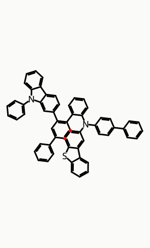 c1ccc(-c2ccc(N(c3ccc4sc5ccccc5c4c3)c3ccccc3-c3ccc(-c4ccccc4)cc3-c3ccc4c5ccccc5n(-c5ccccc5)c4c3)cc2)cc1